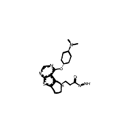 CN(C)[C@H]1CC[C@H](Oc2ncnc3sc4c(c23)[C@@H](CCC(=O)N=N)CC4)CC1